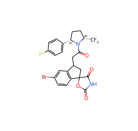 O=C1NC(=O)C2(CC(CC(=O)N3[C@H](c4ccc(F)cc4)CC[C@@H]3C(F)(F)F)c3cc(Br)ccc32)O1